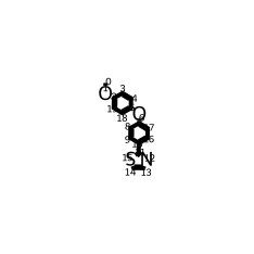 COc1ccc(Oc2ccc(-c3nccs3)cc2)cc1